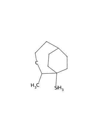 CC1CCCC2CCC1([SiH3])CC2